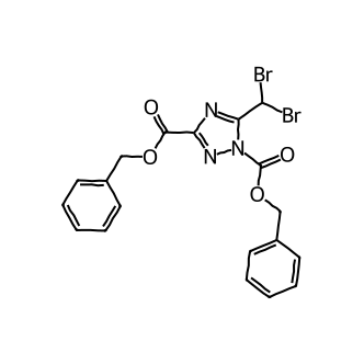 O=C(OCc1ccccc1)c1nc(C(Br)Br)n(C(=O)OCc2ccccc2)n1